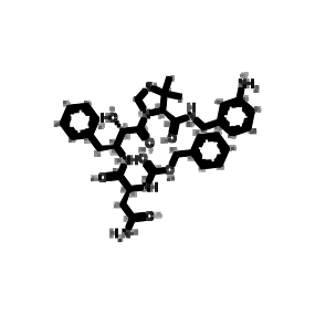 CC1(C)SCN(C(=O)[C@@H](O)[C@H](Cc2ccccc2)NC(=O)[C@H](CC(N)=O)NC(=O)OCc2ccccc2)[C@@H]1C(=O)NCc1cccc(N)c1